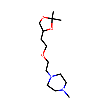 CN1CCN(CCOCCC2COC(C)(C)O2)CC1